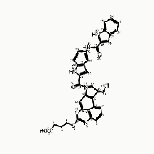 O=C(O)CCCSC1=Nc2cccc3c4c(cc(c23)O1)N(C(=O)c1cc2cc(NC(=O)c3cc5ccccc5[nH]3)ccc2[nH]1)CC4CCl